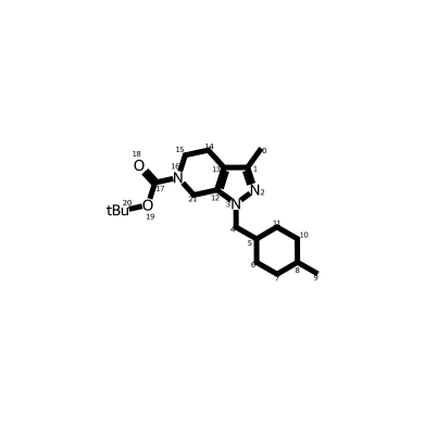 Cc1nn(CC2CCC(C)CC2)c2c1CCN(C(=O)OC(C)(C)C)C2